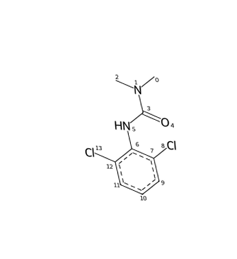 CN(C)C(=O)Nc1c(Cl)cccc1Cl